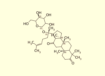 CC(C)=CCC[C@](C)(O[C@@H]1OC(CO)[C@@H](O)C(O)C1O)C1CC[C@]2(C)C1C(=O)CC1[C@@]3(C)CCC(=O)C(C)(C)C3CC[C@]12C